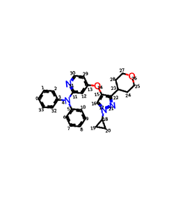 c1ccc(N(c2ccccc2)c2cc(Oc3cn(C4CC4)nc3C3CCOCC3)ccn2)cc1